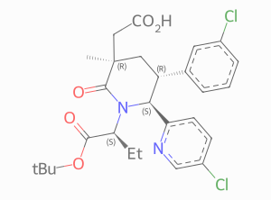 CC[C@@H](C(=O)OC(C)(C)C)N1C(=O)[C@@](C)(CC(=O)O)C[C@H](c2cccc(Cl)c2)[C@H]1c1ccc(Cl)cn1